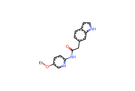 CCOc1ccc(NC(=O)Cc2ccc3cc[nH]c3c2)nc1